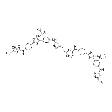 CC(C)OC(=O)NC1CCC(c2ncc(-c3ccc(Nc4cn(CCC(C)OC(=O)NC5CCC(c6ncc(-c7ccc(Nc8cn(C)nn8)cc7P7(=O)CCCC7)s6)CC5)nn4)cc3S(=N)(=O)C3CC3)s2)CC1